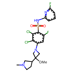 COC1(C2CCN(C)C2)CN(c2cc(F)c(S(=O)(=O)Nc3cccc(F)n3)c(Cl)c2Cl)C1